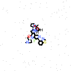 CC(=O)N1CCC[C@@H]1c1cc2c(O[C@@H](C)[C@@H]3CCCN3C)nc3c(F)c(-c4cccc5scnc45)ncc3c2n1[C@H]1[C@H]2CN[C@@H]1C2